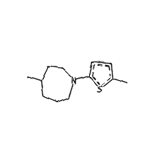 Cc1ccc(N2CCCC(C)CC2)s1